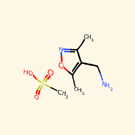 CS(=O)(=O)O.Cc1noc(C)c1CN